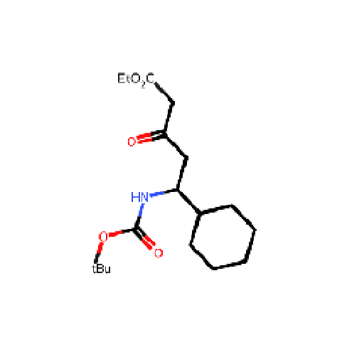 CCOC(=O)CC(=O)CC(NC(=O)OC(C)(C)C)C1CCCCC1